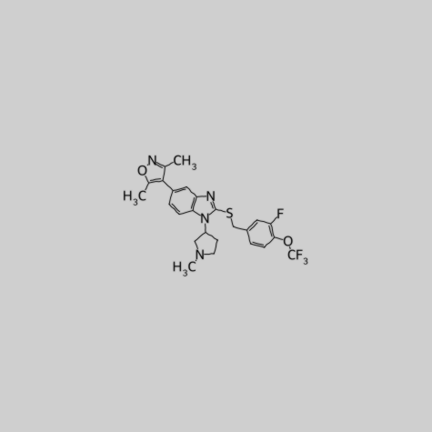 Cc1noc(C)c1-c1ccc2c(c1)nc(SCc1ccc(OC(F)(F)F)c(F)c1)n2C1CCN(C)C1